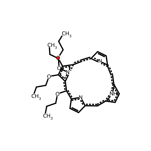 CCCOc1c(OCCC)c2c(OCCC)c3nc(cc4ccc(cc5nc(cc1n2OCCC)C=C5)[nH]4)C=C3